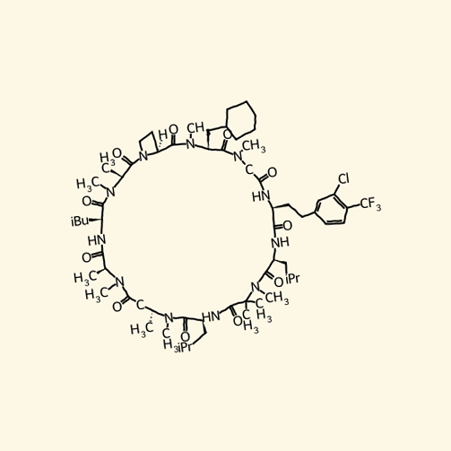 CCC(C)[C@@H]1NC(=O)[C@H](C)N(C)C(=O)C[C@@H](C)N(C)C(=O)[C@H](CC(C)C)NC(=O)C(C)(C)N(C)C(=O)[C@H](CC(C)C)NC(=O)[C@H](CCc2ccc(C(F)(F)F)c(Cl)c2)NC(=O)CN(C)C(=O)[C@H](CC2CCCCC2)N(C)C(=O)[C@@H]2CCN2C(=O)[C@H](C)N(C)C1=O